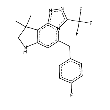 CC1(C)CNc2cc(Cc3ccc(F)cc3)n3c(C(F)(F)F)nnc3c21